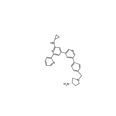 N[C@H]1CCN(Cc2ccc(-c3cncc(-c4cc(NC5CC5)nc(-c5ccccn5)c4)c3)cc2)C1